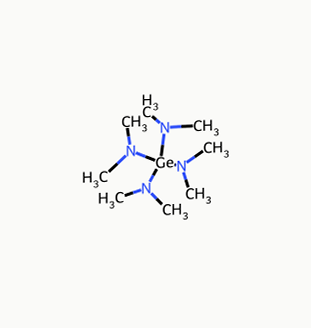 C[N](C)[Ge]([N](C)C)([N](C)C)[N](C)C